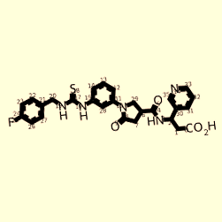 O=C(O)CC(NC(=O)C1CC(=O)N(c2cccc(NC(=S)NCc3ccc(F)cc3)c2)C1)c1cccnc1